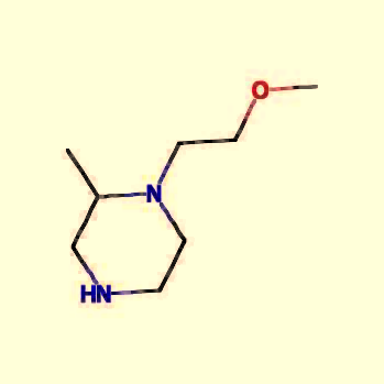 COCCN1CCNCC1C